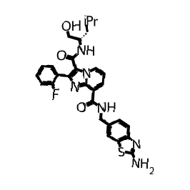 CC(C)C[C@@H](CO)NC(=O)c1c(-c2ccccc2F)nc2c(C(=O)NCc3ccc4nc(N)sc4c3)cccn12